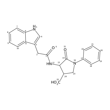 O=C(Cc1c[nH]c2ccccc12)NC1C(=O)N(c2ccccc2)CC1C(=O)O